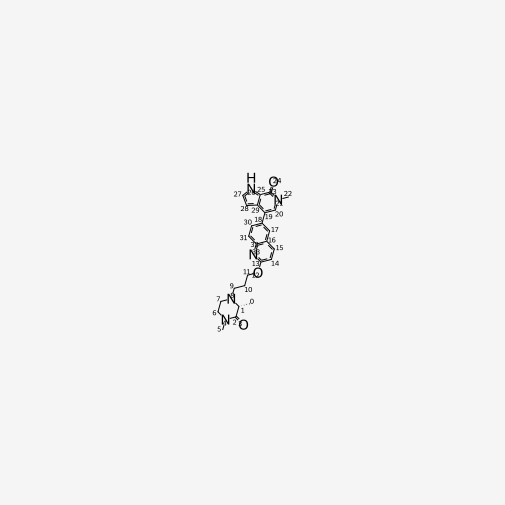 C[C@@H]1C(=O)N(C)CCN1CCCOc1ccc2cc(-c3cn(C)c(=O)c4[nH]ccc34)ccc2n1